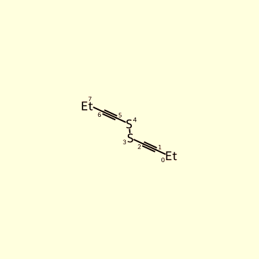 CCC#CSSC#CCC